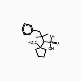 CC(C)(Cc1ccccc1)C(C1(C(=O)O)CCCC1)P(=O)(O)O